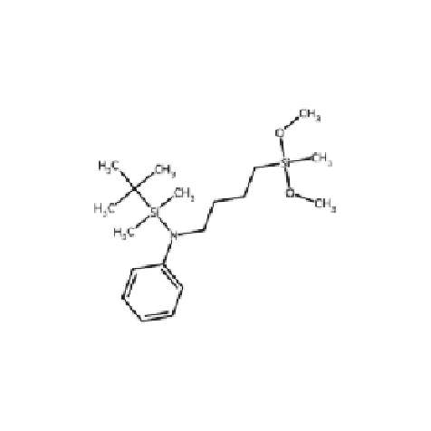 CO[Si](C)(CCCCN(c1ccccc1)[Si](C)(C)C(C)(C)C)OC